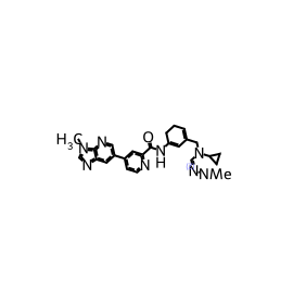 CN/N=C\N(CC1=CCCC(NC(=O)c2cc(-c3cnc4c(c3)ncn4C)ccn2)=C1)C1CC1